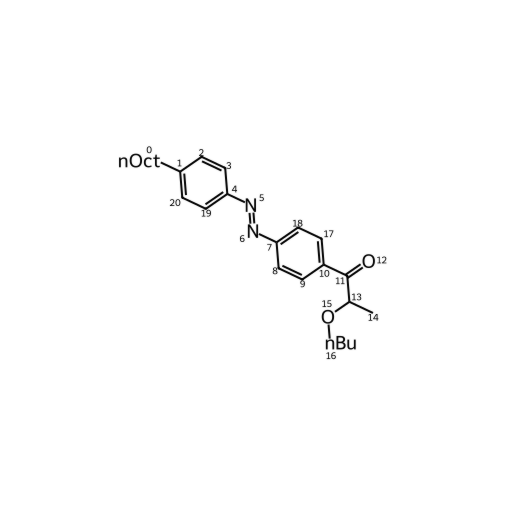 CCCCCCCCc1ccc(/N=N/c2ccc(C(=O)C(C)OCCCC)cc2)cc1